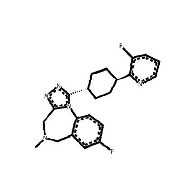 CN1Cc2cc(F)ccc2-n2c(nnc2[C@H]2CC[C@H](c3ncccc3F)CC2)C1